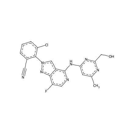 Cc1cc(Nc2ncc(F)c3nn(-c4c(Cl)cccc4C#N)cc23)nc(CO)n1